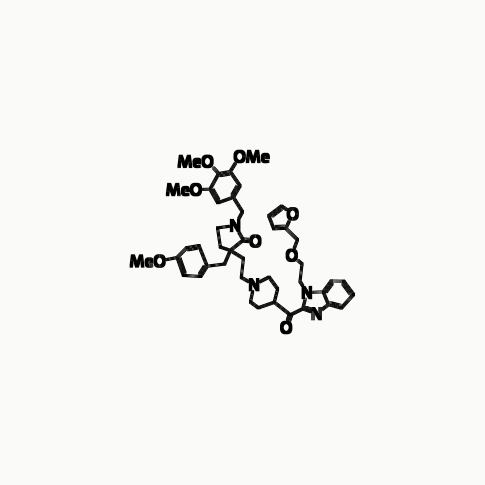 COc1ccc(CC2(CCN3CCC(C(=O)c4nc5ccccc5n4CCOCc4ccco4)CC3)CCN(Cc3cc(OC)c(OC)c(OC)c3)C2=O)cc1